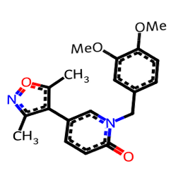 COc1ccc(Cn2cc(-c3c(C)noc3C)ccc2=O)cc1OC